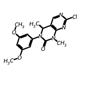 COc1cc(OC)cc(N2C(=O)N(C)c3nc(Cl)ncc3C2C)c1